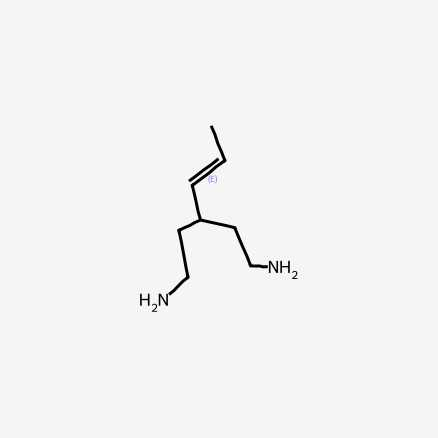 C/C=C/C(CCN)CCN